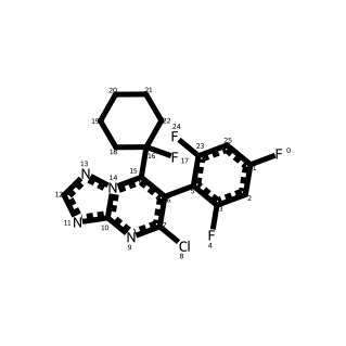 Fc1cc(F)c(-c2c(Cl)nc3ncnn3c2C2(F)CCCCC2)c(F)c1